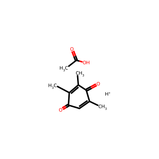 CC(=O)O.CC1=CC(=O)C(C)=C(C)C1=O.[H+]